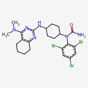 CN(C)c1nc(NC2CCC(N(C(N)=O)c3c(Br)cc(Br)cc3Br)CC2)nc2c1CCCC2